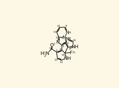 NC(=O)C1=C(c2cn3ncccc3n2)C(F)(c2cnc[nH]2)NC=C1